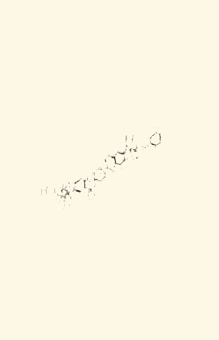 CS(=O)(=O)Nc1ccc2c(c1)C(=O)CC1(CCN([C@@H]3CCc4cc(NC(=O)OCc5ccccc5)ccc4C3)CC1)O2